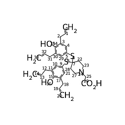 C=CCc1cc(SC2(Sc3cc(CC=C)c(O)c(CC=C)c3)CCN(CC(=O)O)CC2)cc(CC=C)c1O